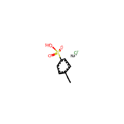 Cc1ccc(S(=O)(=O)O)cc1.[Cl-].[Na+]